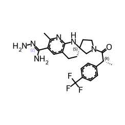 Cc1nc2c(cc1/C(N)=N/N)CC[C@@]1(CCN(C(=O)[C@H](C)c3ccc(C(F)(F)F)cc3)C1)N2